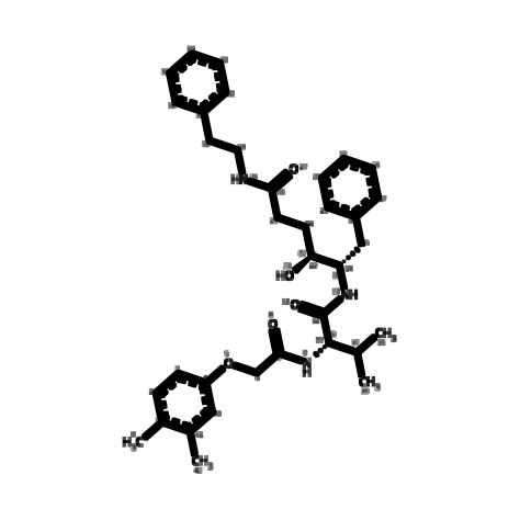 Cc1ccc(OCC(=O)N[C@H](C(=O)N[C@@H](Cc2ccccc2)[C@@H](O)CCC(=O)NCCc2ccccc2)C(C)C)cc1C